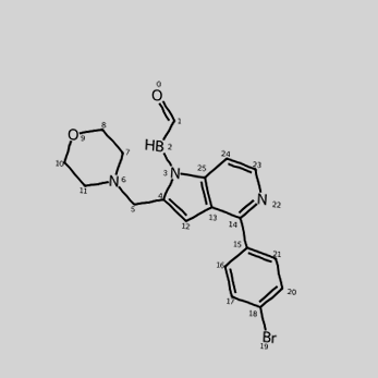 O=CBn1c(CN2CCOCC2)cc2c(-c3ccc(Br)cc3)nccc21